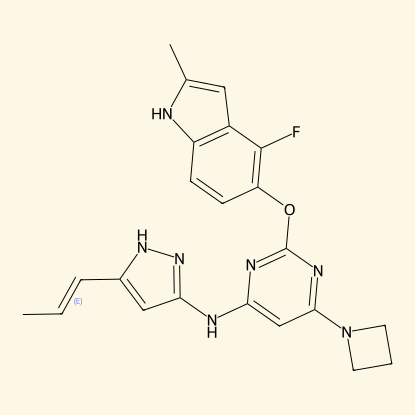 C/C=C/c1cc(Nc2cc(N3CCC3)nc(Oc3ccc4[nH]c(C)cc4c3F)n2)n[nH]1